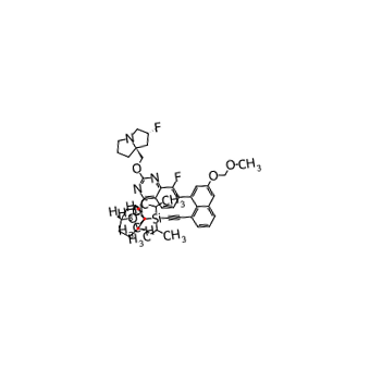 COCOc1cc(-c2ccc3c(N4C[C@H]5CC[C@@H](C4)O5)nc(OC[C@@]45CCCN4C[C@H](F)C5)nc3c2F)c2c(C#C[Si](C(C)C)(C(C)C)C(C)C)cccc2c1